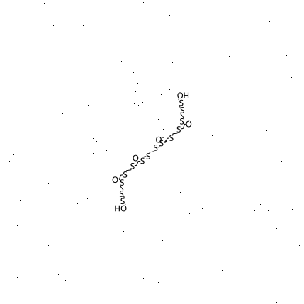 O=C(CSCCSCC[S+]([O-])CSCCSCSC(=O)CSCCSCC(=O)SCCSCSCO)SCCSCSCO